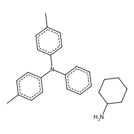 Cc1ccc(N(c2ccccc2)c2ccc(C)cc2)cc1.NC1CCCCC1